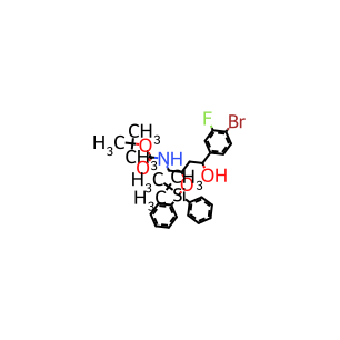 CC(C)(C)OC(=O)NCC(CC(O)c1ccc(Br)c(F)c1)O[Si](c1ccccc1)(c1ccccc1)C(C)(C)C